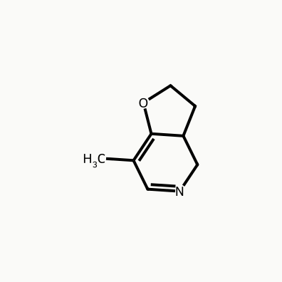 CC1=C2OCCC2CN=C1